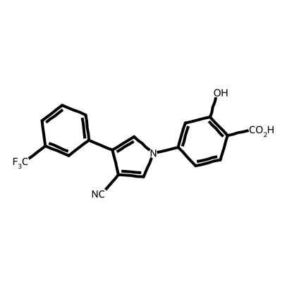 N#Cc1cn(-c2ccc(C(=O)O)c(O)c2)cc1-c1cccc(C(F)(F)F)c1